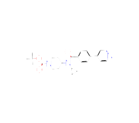 CC(C)(C)OC(=O)N1CCC(N(C(=O)c2ccc(-c3ccncc3)cc2)C2CC2)CC1